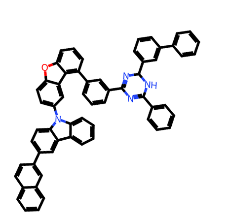 c1ccc(C2=NC(c3cccc(-c4cccc5oc6ccc(-n7c8ccccc8c8cc(-c9ccc%10ccccc%10c9)ccc87)cc6c45)c3)=NC(c3cccc(-c4ccccc4)c3)N2)cc1